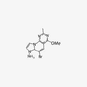 COc1nc(C)nc2c1C=C(Br)C1N(N)C=CN21